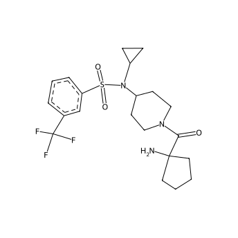 NC1(C(=O)N2CCC(N(C3CC3)S(=O)(=O)c3cccc(C(F)(F)F)c3)CC2)CCCC1